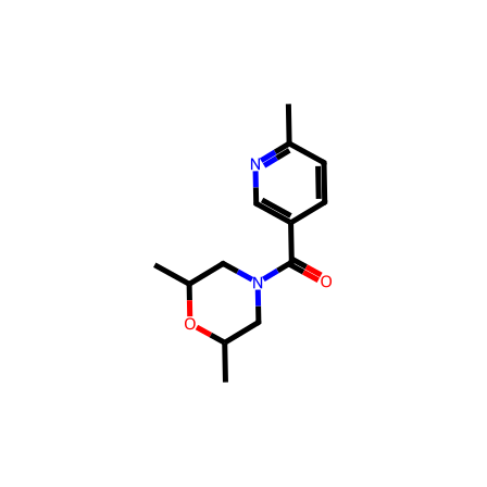 Cc1ccc(C(=O)N2CC(C)OC(C)C2)cn1